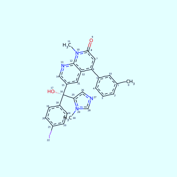 Cc1cccc(-c2cc(=O)n(C)c3ncc([C@](O)(c4ccc(I)cc4)c4cncn4C)cc23)c1